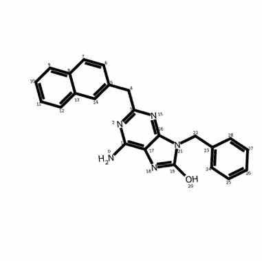 Nc1nc(Cc2ccc3ccccc3c2)nc2c1nc(O)n2Cc1ccccc1